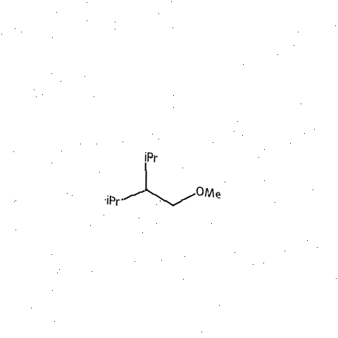 COCC([C](C)C)C(C)C